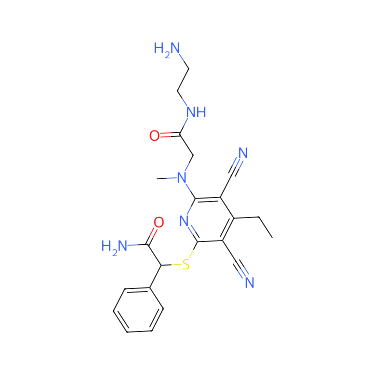 CCc1c(C#N)c(SC(C(N)=O)c2ccccc2)nc(N(C)CC(=O)NCCN)c1C#N